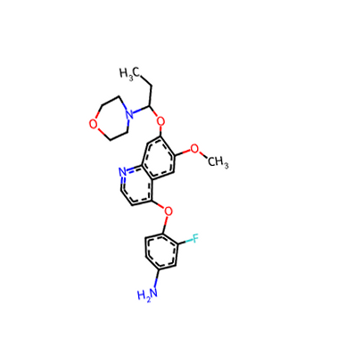 CCC(Oc1cc2nccc(Oc3ccc(N)cc3F)c2cc1OC)N1CCOCC1